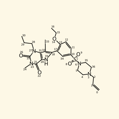 C=CCN1CCN(S(=O)(=O)c2ccc(OCC)c(-c3[nH]c4c(=O)n(C)c(=O)n(CCC)c4c3I)c2)CC1